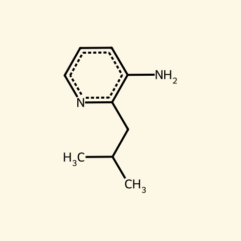 CC(C)Cc1ncccc1N